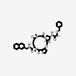 C[C@@H](OCc1ccccc1)C(=O)N[C@@H]1C[C@H]2COc3ccsc3C(=O)N(C)[C@H](C(=O)NCc3ccc4ccccc4c3)CCC(=O)N(C)CC(=O)N2C1